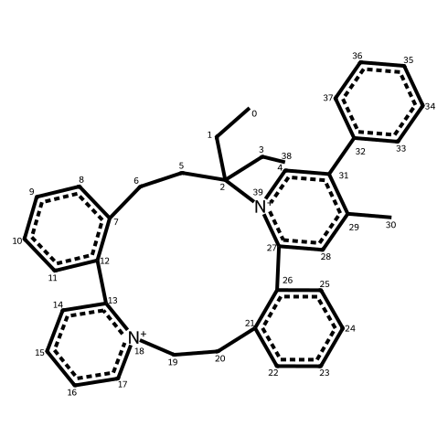 CCC1(CC)CCc2ccccc2-c2cccc[n+]2CCc2ccccc2-c2cc(C)c(-c3ccccc3)c[n+]21